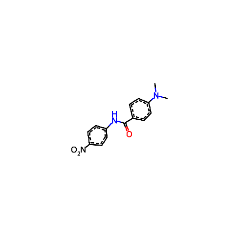 CN(C)c1ccc(C(=O)Nc2ccc([N+](=O)[O-])cc2)cc1